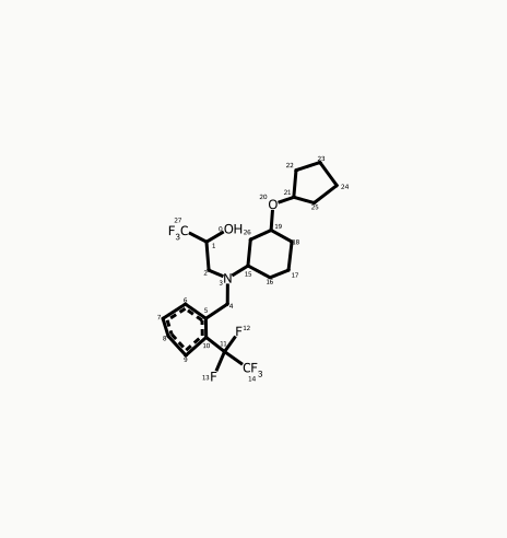 OC(CN(Cc1ccccc1C(F)(F)C(F)(F)F)C1CCCC(OC2CCCC2)C1)C(F)(F)F